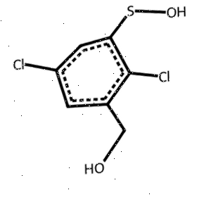 OCc1cc(Cl)cc(SO)c1Cl